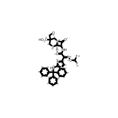 O=C(NC1C(=O)N2CC(CCl)(C(=O)O)CS[C@H]12)C(=NOC(F)F)c1csc(NC(c2ccccc2)(c2ccccc2)c2ccccc2)n1